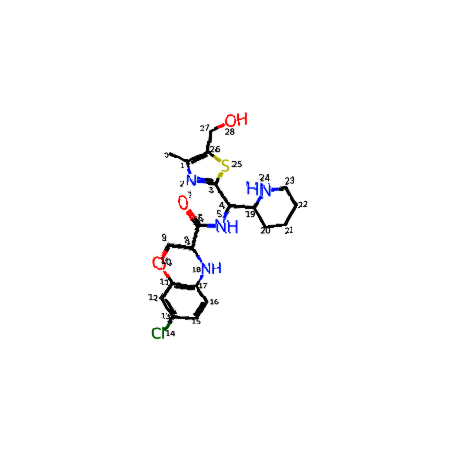 Cc1nc(C(NC(=O)C2COc3cc(Cl)ccc3N2)C2CCCCN2)sc1CO